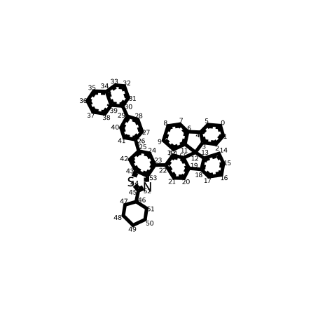 c1ccc2c(c1)-c1ccccc1C21c2ccccc2-c2ccc(-c3cc(-c4ccc(-c5cccc6ccccc56)cc4)cc4sc(C5CCCCC5)nc34)cc21